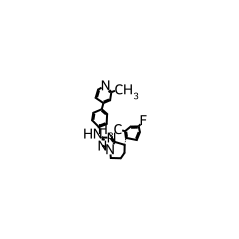 Cc1cc(-c2ccc(Nc3nc4n(n3)CCC[C@H]4c3ccc(F)cc3C)cc2)ccn1